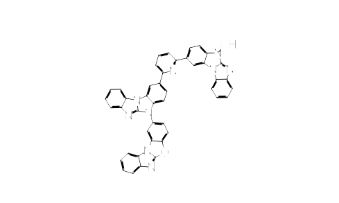 Cn1c2ccc(-c3cccc(-c4ccc5c(c4)n4c6ccccc6nc4n5-c4ccc5oc6nc7ccccc7n6c5c4)n3)cc2n2c3ccccc3nc12